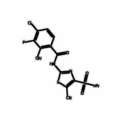 CCCS(=O)(=O)c1nc(NC(=O)c2ccc(Cl)c(F)c2O)sc1C#N